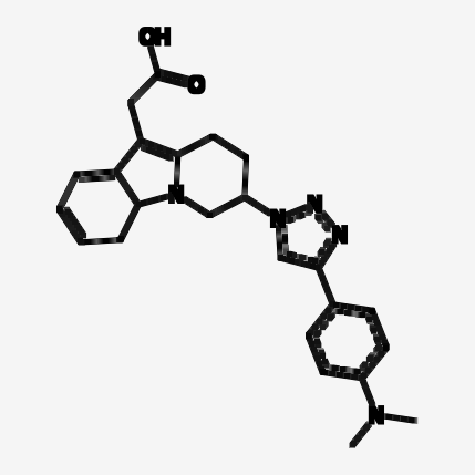 CN(C)c1ccc(-c2cn(C3CCC4=C(CC(=O)O)C5=CC=CCC5N4C3)nn2)cc1